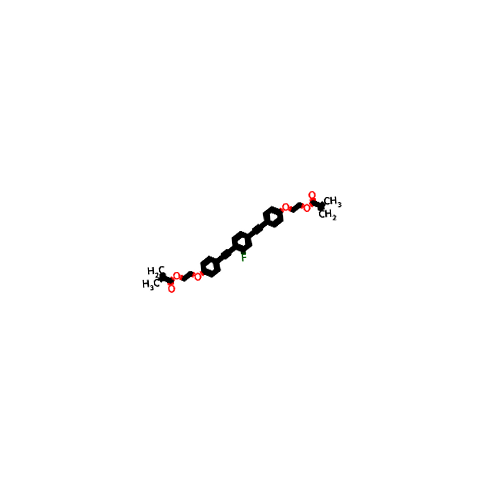 C=C(C)C(=O)OCCOc1ccc(C#Cc2ccc(C#Cc3ccc(OCCOC(=O)C(=C)C)cc3)c(F)c2)cc1